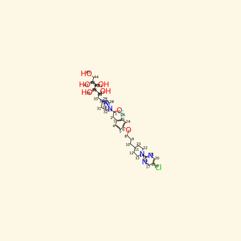 O=C(Cc1ccc(OCCCC2CCN(c3ncc(Cl)cn3)CC2)cc1F)N1CC2CCC1CN2C[C@H](O)[C@@H](O)[C@H](O)[C@H](O)CO